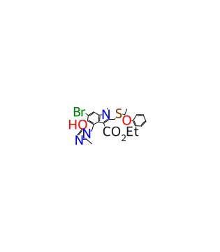 CCOC(=O)c1c(CSC(C)Oc2ccccc2)n(C)c2cc(Br)c(O)c(Cn3ccnc3C)c12